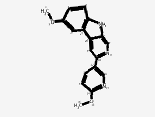 COc1ccc2[nH]c3cnc(-c4ccc(OC)nc4)cc3c2c1